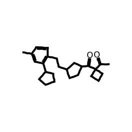 CC(=O)C1(C(=O)C2CCC(CCc3ccc(C)cc3C3CCCC3)C2)CCC1